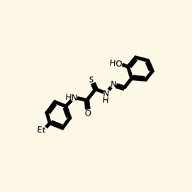 CCc1ccc(NC(=O)C(=S)N/N=C/c2ccccc2O)cc1